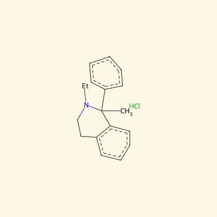 CCN1CCc2ccccc2C1(C)c1ccccc1.Cl